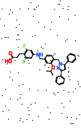 CC(C)Oc1cc(CNc2cc(F)c(CCC(=O)O)c(F)c2)ccc1Cn1nc(-c2ccccc2)cc1-c1ccccc1